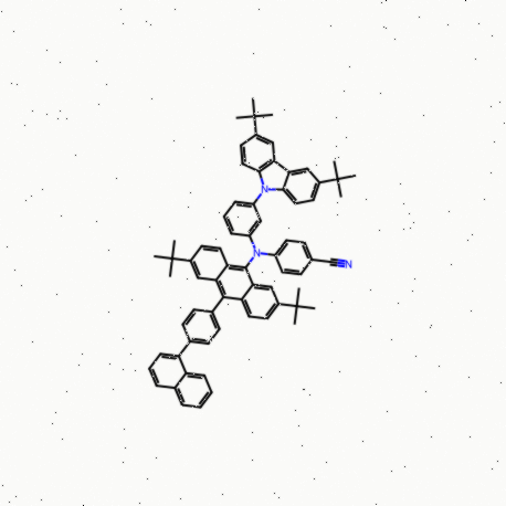 CC(C)(C)c1ccc2c(N(c3ccc(C#N)cc3)c3cccc(-n4c5ccc(C(C)(C)C)cc5c5cc(C(C)(C)C)ccc54)c3)c3cc(C(C)(C)C)ccc3c(-c3ccc(-c4cccc5ccccc45)cc3)c2c1